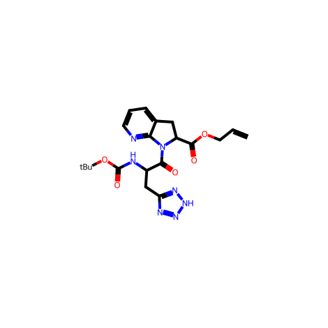 C=CCOC(=O)C1Cc2cccnc2N1C(=O)C(Cc1nn[nH]n1)NC(=O)OC(C)(C)C